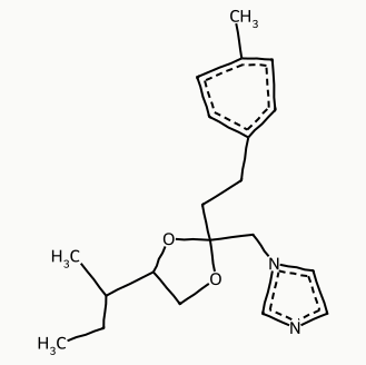 CCC(C)C1COC(CCc2ccc(C)cc2)(Cn2ccnc2)O1